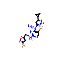 Brc1cc(CNc2ncc(Br)c(Nc3cc(C4CC4)n[nH]3)n2)on1